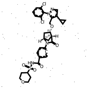 O=C(NS(=O)(=O)C1CCOCC1)c1ccc(N2C(=O)[C@@H]3C[C@H]2C[C@@H]3OCc2c(C3CC3)cnn2-c2c(Cl)cccc2Cl)cc1